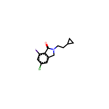 O=C1c2c(I)cc(Br)cc2CN1CCC1CC1